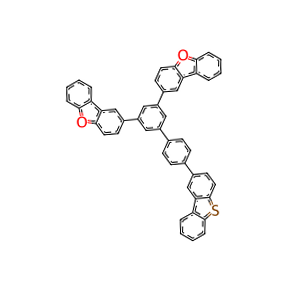 c1ccc2c(c1)oc1ccc(-c3cc(-c4ccc(-c5ccc6sc7ccccc7c6c5)cc4)cc(-c4ccc5oc6ccccc6c5c4)c3)cc12